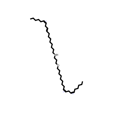 CCCCC/C=C\CC=CCCCCCCCCNCCCOCCCCCCCC/C=C\C/C=C\CCCCC